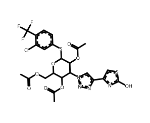 CC(=O)OCC1OC(Sc2ccc(C(F)(F)F)c(Cl)c2)C(OC(C)=O)C(n2cc(-c3csc(O)n3)nn2)C1OC(C)=O